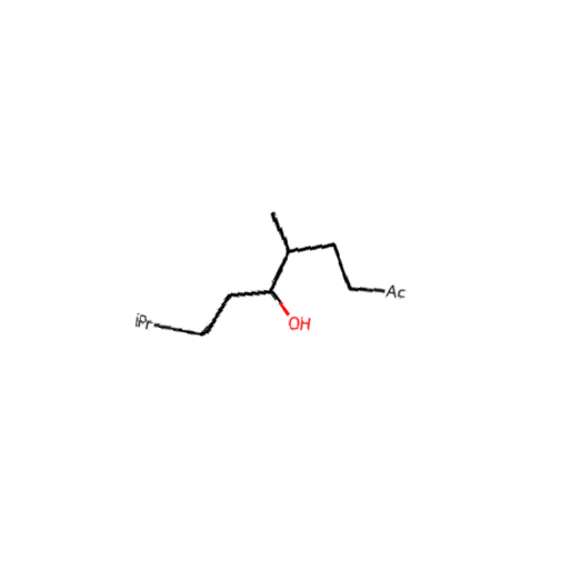 [CH2]C(=O)CCC(C)C(O)CCC(C)C